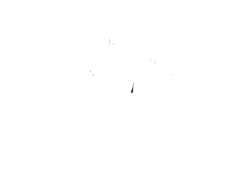 Cc1cccc(Cn2c([C@@H](NC(=O)OC(C)(C)C)C(C)C)nc3ccccc32)c1